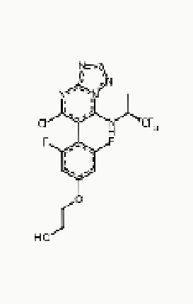 C[C@H](Nc1c(-c2c(F)cc(OCCO)cc2F)c(Cl)nc2ncnn12)C(F)(F)F